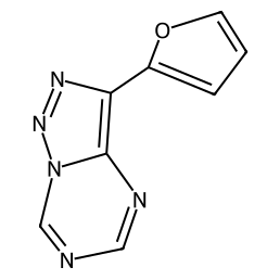 c1coc(-c2nnn3cncnc23)c1